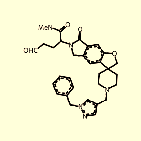 CNC(=O)C(CCC=O)N1Cc2cc3c(cc2C1=O)OCC31CCN(Cc2cnn(Cc3ccccc3)c2)CC1